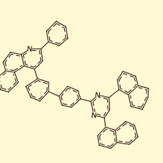 c1ccc(-c2cc(-c3cccc(-c4ccc(-c5nc(-c6cccc7ccccc67)cc(-c6cccc7ccccc67)n5)cc4)c3)c3c(ccc4ccccc43)n2)cc1